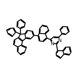 c1ccc(-c2cc(-c3ccc(-c4ccc5c(c4)-c4c(ccc6ccccc46)C5(c4ccccc4)c4ccccc4)c4ccccc34)nc(-c3cccc4ccccc34)n2)cc1